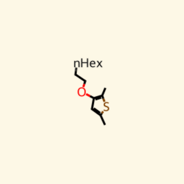 CCCCCCCCOc1cc(C)sc1C